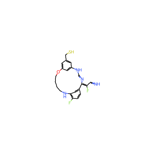 N=C/C(F)=C1\N=C\Nc2cc(CS)cc(c2)OCCCCNc2cc1ccc2F